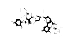 C=C(C)N(c1c(C)cc(F)cc1-c1cccc(NC2C[C@@H](C(C)=O)N(c3nc(N)nc4c3cnn4-c3ccc(F)cc3F)C2)n1)C(CC)CC